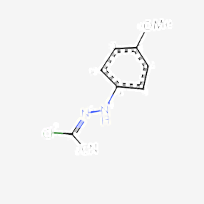 COc1ccc(N/N=C(/Cl)C#N)cc1